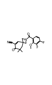 COc1c(C(=O)N2CC3(C=C(C#N)C(=O)C(C)(C)C3)C2)ccc(F)c1F